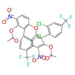 CC(=O)Oc1c([N+](=O)[O-])ccc(Oc2ccc([N+](=O)[O-])c(OC(C)=O)c2-c2ccc(C(F)(F)F)cc2Cl)c1-c1ccc(C(F)(F)F)cc1Cl